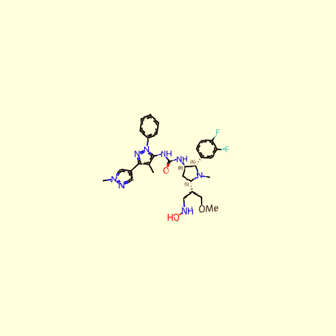 COCC(CNO)[C@@H]1C[C@@H](NC(=O)Nc2c(C)c(-c3cnn(C)c3)nn2-c2ccccc2)[C@H](c2ccc(F)c(F)c2)N1C